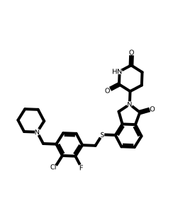 O=C1CCC(N2Cc3c(SCc4ccc(CN5CCCCC5)c(Cl)c4F)cccc3C2=O)C(=O)N1